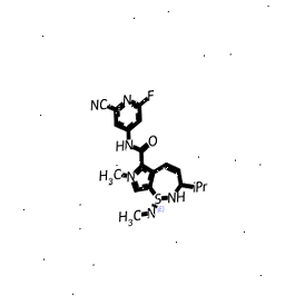 C/N=S1/NC(C(C)C)C=Cc2c1cn(C)c2C(=O)Nc1cc(F)nc(C#N)c1